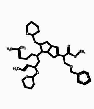 CC=CC(CC(CCC=C(C)C)C1C(OC2CCCCO2)CC2C=C(C(COCc3ccccc3)C(=O)OC)CC21)OC1CCCCO1